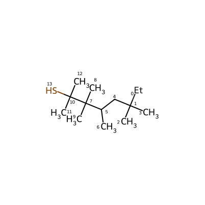 CCC(C)(C)CC(C)C(C)(C)C(C)(C)S